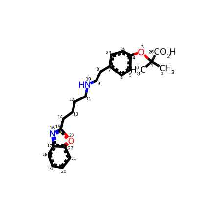 CC(C)(Oc1ccc(CCNCCCCc2nc3ccccc3o2)cc1)C(=O)O